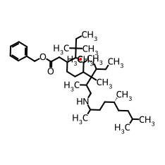 CCC(I)C(C)(C(C)CNC(C)CC[C@H](C)CCC(C)C)C(CCC(CC(=O)OCc1ccccc1)C(C)C(C)(C)CC)C(C)C